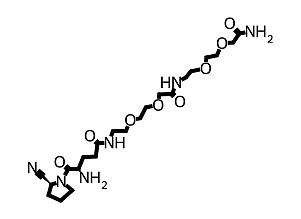 N#C[C@@H]1CCCN1C(=O)[C@@H](N)CCC(=O)NCCOCCOCC(=O)NCCOCCOCC(N)=O